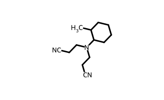 CC1CCCCC1N(CCC#N)CCC#N